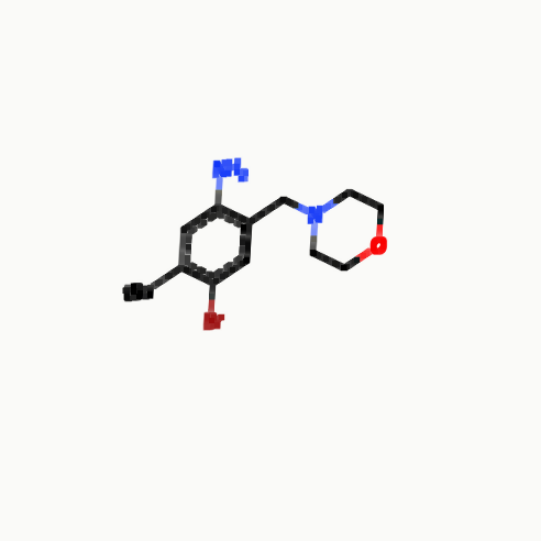 CC(C)(C)c1cc(N)c(CN2CCOCC2)cc1Br